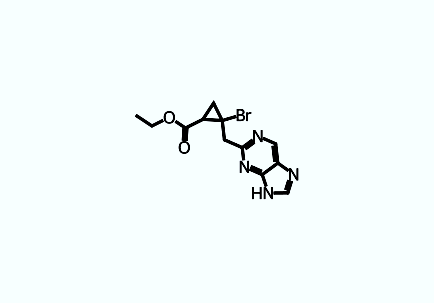 CCOC(=O)C1CC1(Br)Cc1ncc2nc[nH]c2n1